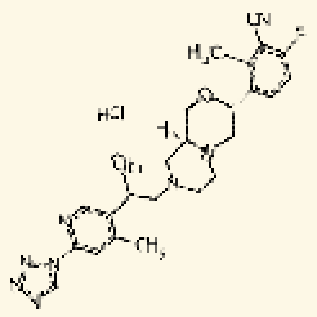 Cc1cc(-n2cnnn2)ncc1C(O)CN1CCN2C[C@@H](c3ccc(F)c(C#N)c3C)OC[C@@H]2C1.Cl